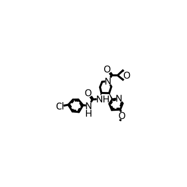 COc1ccc([C@@H]2CN(C(=O)C3COC3)CC[C@H]2NC(=O)Nc2ccc(Cl)cc2)nc1